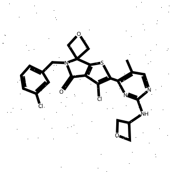 Cc1cnc(NC2COC2)nc1-c1sc2c(c1Cl)C(=O)N(Cc1cccc(Cl)c1)C21COC1